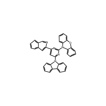 c1ccc2c(c1)Oc1ccccc1N2c1nc(-c2cc3ccccc3cn2)cc(-n2c3ccccc3c3ccccc32)n1